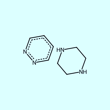 C1CNCCN1.c1ccnnc1